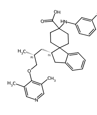 Cc1cncc(C)c1OC[C@H](C)C[C@H]1Cc2ccccc2C12CCC(Nc1cccc(Cl)c1)(C(=O)O)CC2